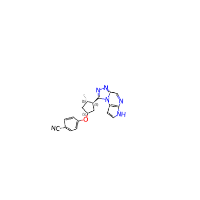 C[C@H]1C[C@H](Oc2ccc(C#N)cc2)C[C@@H]1c1nnc2cnc3[nH]ccc3n12